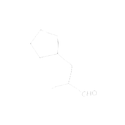 CC(C=O)CC1CCCC1